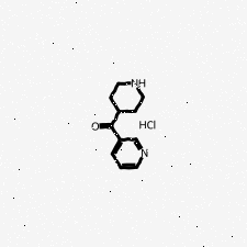 Cl.O=C(c1cccnc1)C1CCNCC1